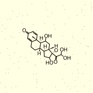 C[C@]12C=CC(=O)C=C1CC[C@@H]1[C@@H]2C(O)C[C@@]2(C)[C@H]1CC(O)[C@]2(O)C(=O)C(O)O